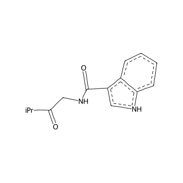 CC(C)C(=O)CNC(=O)c1c[nH]c2ccccc12